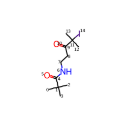 CC(C)(C)C(=O)NCCC(=O)C(C)(C)I